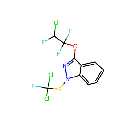 FC(Cl)C(F)(F)Oc1nn(SC(F)(Cl)Cl)c2ccccc12